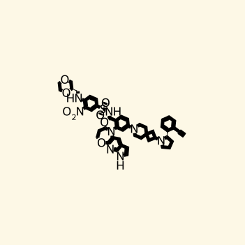 C#Cc1ccccc1[C@@H]1CCCN1C1CC2(CCN(c3ccc(C(=O)NS(=O)(=O)c4ccc(NC[C@H]5COCCO5)c([N+](=O)[O-])c4)c(N4CCCOc5nc6[nH]ccc6cc54)c3)CC2)C1